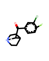 O=C(c1ccc(F)c(Cl)c1)C1CN2CCC1CC2